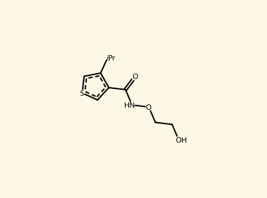 CC(C)c1cscc1C(=O)NOCCO